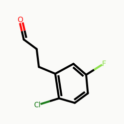 O=CCCc1cc(F)ccc1Cl